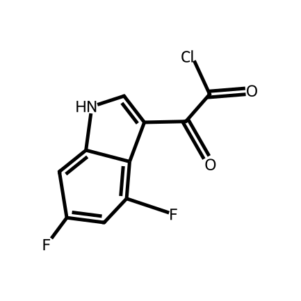 O=C(Cl)C(=O)c1c[nH]c2cc(F)cc(F)c12